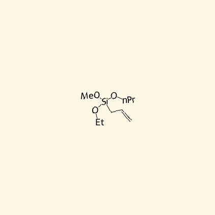 C=CC[Si](OC)(OCC)OCCC